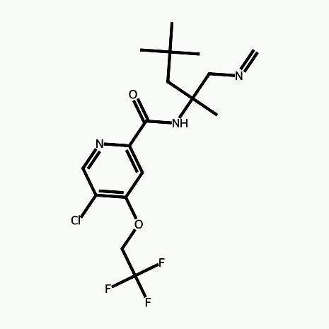 C=NCC(C)(CC(C)(C)C)NC(=O)c1cc(OCC(F)(F)F)c(Cl)cn1